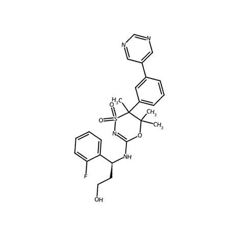 CC1(C)OC(N[C@@H](CCO)c2ccccc2F)=NS(=O)(=O)C1(C)c1cccc(-c2cncnc2)c1